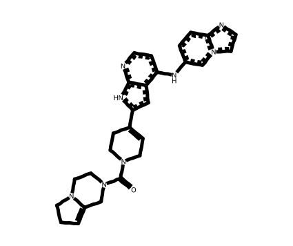 O=C(N1CC=C(c2cc3c(Nc4ccc5nccn5c4)ccnc3[nH]2)CC1)N1CCN2CCC=C2C1